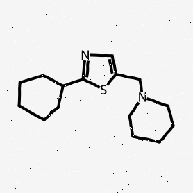 c1nc(C2CCCCC2)sc1CN1CCCCC1